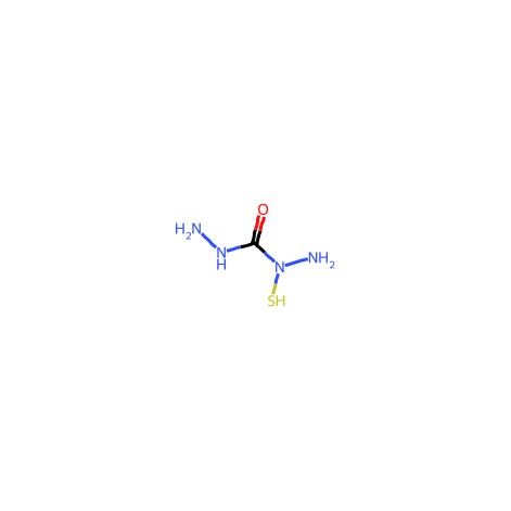 NNC(=O)N(N)S